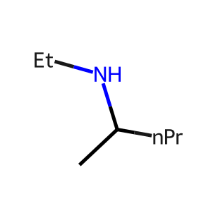 [CH2]CNC(C)CCC